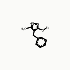 CCOc1n[nH]c(C)c1Cc1ccccc1